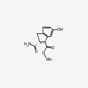 CC(C)(C)OC(=O)N1c2cc(O)ccc2C[C@H]1C(N)=O